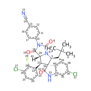 CC(C)(C)C[C@@H]1N2C(=O)N(c3ccc(C#N)cc3)C(=O)[C@H]2[C@H](c2cccc(Cl)c2F)[C@]12C(=O)Nc1cc(Cl)ccc12